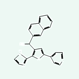 OC(c1ccc2ccccc2c1)c1cc(-c2ccncc2)sc1-c1ncc[nH]1